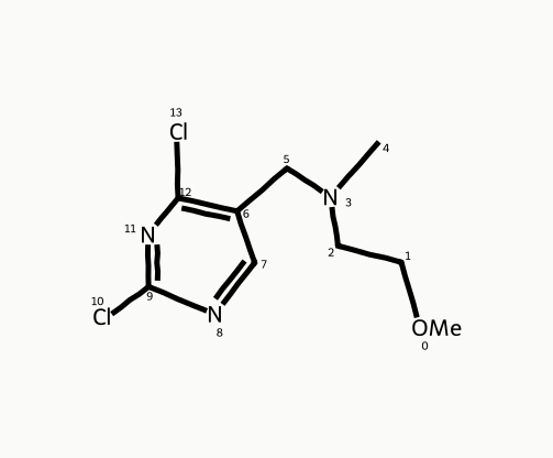 COCCN(C)Cc1cnc(Cl)nc1Cl